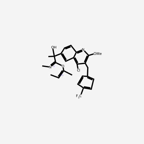 C/C=C(/C)O/C(=N/C)C(C)(O)c1ccc2nc(OC)c(Cc3ccc(C(F)(F)F)cc3)c(Cl)c2c1